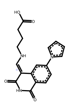 O=C(O)CCCN/C=C1/C(=O)NC(=O)c2ccc(-n3cccc3)cc21